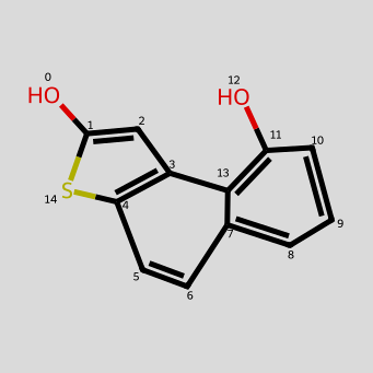 Oc1cc2c(ccc3cccc(O)c32)s1